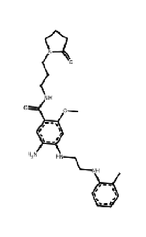 COc1cc(NCCNc2ccccc2C)c(N)cc1C(=O)NCCCN1CCCC1=O